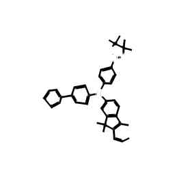 C/C=C\C1=C(C)c2ccc(N(c3ccc(B4OC(C)(C)C(C)(C)O4)cc3)c3ccc(-c4ccccc4)cc3)cc2C1(C)C